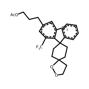 CC(=O)OCCCc1cc(C(F)(F)F)c(C2(c3ccccc3)CCC3(CCOO3)CC2)c(C(F)(F)F)c1